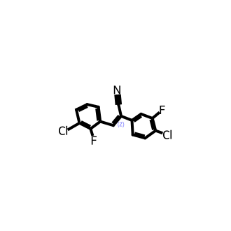 N#C/C(=C\c1cccc(Cl)c1F)c1ccc(Cl)c(F)c1